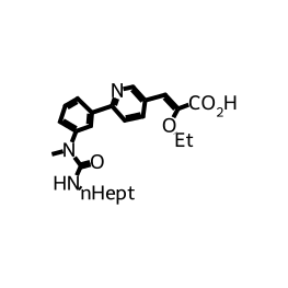 CCCCCCCNC(=O)N(C)c1cccc(-c2ccc(C=C(OCC)C(=O)O)cn2)c1